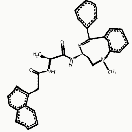 C[C@H](NC(=O)Cc1cccc2ccccc12)C(=O)N[C@@H]1CN(C)c2ccccc2C(c2ccccc2)=N1